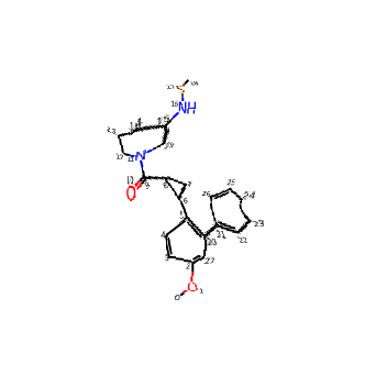 COc1ccc(C2CC2C(=O)N2CCCC(NSC)C2)c(C2=CCCC=C2)c1